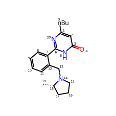 CCCCc1cc(=O)[nH]c(-c2ccccc2CN2CCC[C@@H]2C)n1